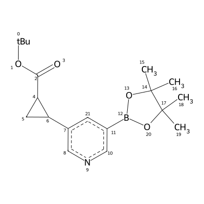 CC(C)(C)OC(=O)C1CC1c1cncc(B2OC(C)(C)C(C)(C)O2)c1